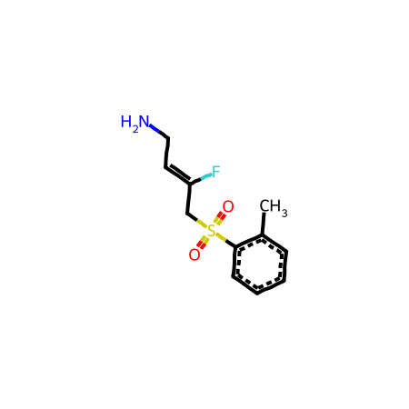 Cc1ccccc1S(=O)(=O)C/C(F)=C/CN